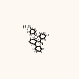 Nc1ccc(Oc2cccc(-c3ccccc3)c2C(=O)c2ccccc2)cc1